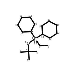 CC[PH](OC(C)(C)C)(C1CCCCC1)C1CCCCC1